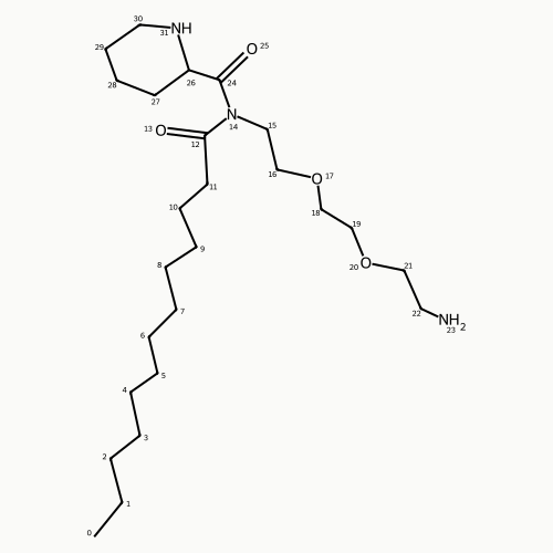 CCCCCCCCCCCCC(=O)N(CCOCCOCCN)C(=O)C1CCCCN1